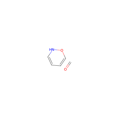 C1=CNOC=C1.C=O